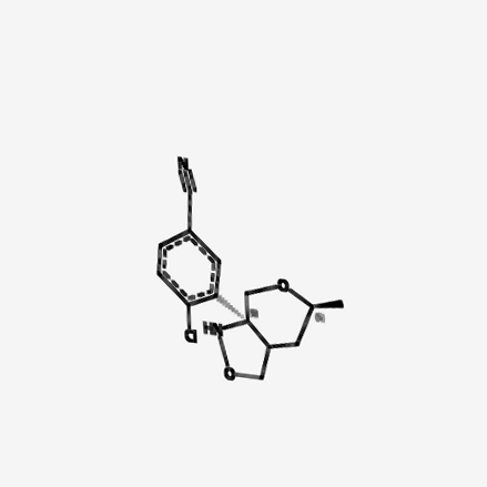 C[C@H]1CC2CON[C@@]2(c2cc(C#N)ccc2Cl)CO1